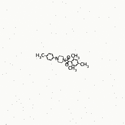 Cc1ccc(N2CCN(S(=O)(=O)c3c(C)cc(C)cc3C)CC2)cc1